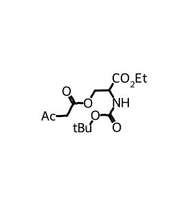 CCOC(=O)C(COC(=O)CC(C)=O)NC(=O)OC(C)(C)C